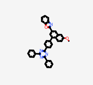 COc1ccc2c(-c3ccc(-c4nc(-c5ccccc5)nc(-c5ccccc5)n4)cc3)cc(-c3nc4ccccc4o3)cc2c1